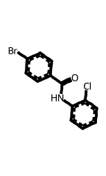 O=C(Nc1ccccc1Cl)c1ccc(Br)cc1